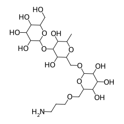 CC1OC(COC2OC(COCCCN)C(O)C(O)C2O)C(O)C(OC2OC(CO)C(O)C(O)C2O)C1O